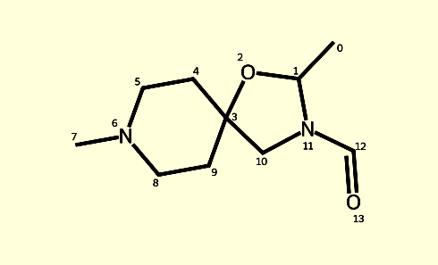 CC1OC2(CCN(C)CC2)CN1C=O